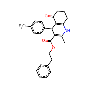 CC1=C(C(=O)OCCc2ccccc2)C(c2ccc(C(F)(F)F)cc2)C2=C(CCCC2=O)N1